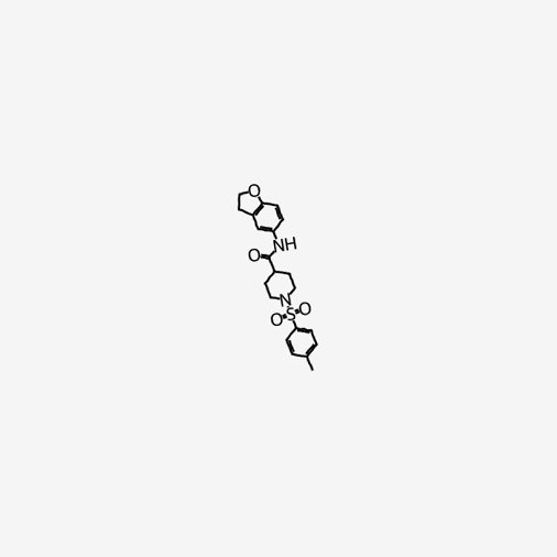 Cc1ccc(S(=O)(=O)N2CCC(C(=O)Nc3ccc4c(c3)CCO4)CC2)cc1